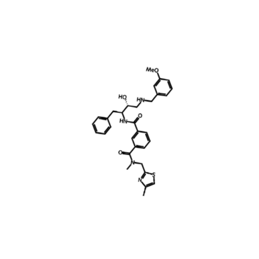 COc1cccc(CNC[C@@H](O)[C@H](Cc2ccccc2)NC(=O)c2cccc(C(=O)N(C)Cc3nc(C)cs3)c2)c1